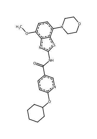 COc1ccc(N2CCOCC2)c2sc(NC(=O)c3ccc(OC4CCCCC4)nc3)nc12